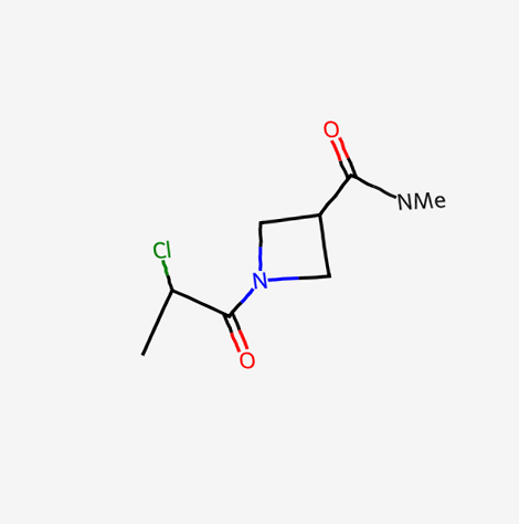 CNC(=O)C1CN(C(=O)C(C)Cl)C1